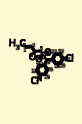 CC=CC(=O)CS(=O)(=O)C(c1ccc(Cl)cc1)c1ccc(Cl)cc1